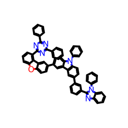 c1ccc(-c2nc(-c3ccccc3)nc(-c3cccc4oc5ccc(-c6ccc7c(c6)c6cc(-c8cccc(-c9nc%10ccccc%10n9-c9ccccc9)c8)ccc6n7-c6ccccc6)cc5c34)n2)cc1